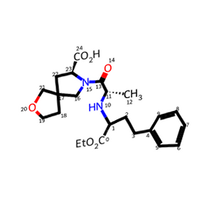 CCOC(=O)C(CCc1ccccc1)N[C@@H](C)C(=O)N1CC2(CCOC2)C[C@H]1C(=O)O